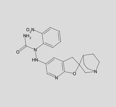 NC(=O)N(Nc1cnc2c(c1)CC1(CN3CCC1CC3)O2)c1ccccc1[N+](=O)[O-]